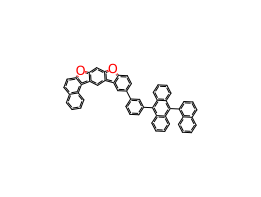 c1cc(-c2ccc3oc4cc5oc6ccc7ccccc7c6c5cc4c3c2)cc(-c2c3ccccc3c(-c3cccc4ccccc34)c3ccccc23)c1